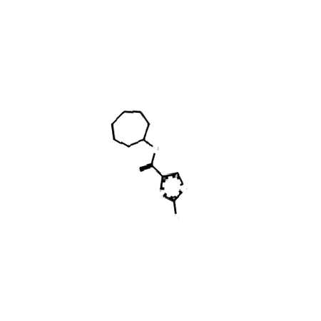 O=C(NC1CCCCCC1)c1cnc(Br)s1